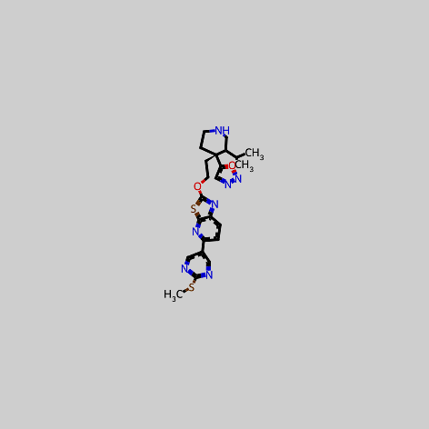 CSc1ncc(-c2ccc3nc(OCC[C@@]4(c5cnno5)CCNCC4C(C)C)sc3n2)cn1